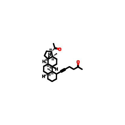 CC(=O)CCC#CC1CCC[C@H]2CC[C@H]3[C@@H]4CC[C@H](C(C)=O)[C@@]4(C)CC[C@@H]3[C@@]12C